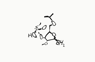 B[C@@H]1O[C@H](COC(C)C)[C@@H](OP(=O)(O)SC)[C@H]1OC